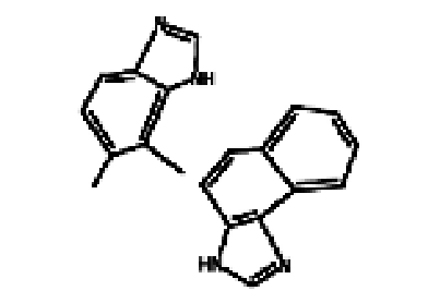 Cc1ccc2nc[nH]c2c1C.c1ccc2c(c1)ccc1[nH]cnc12